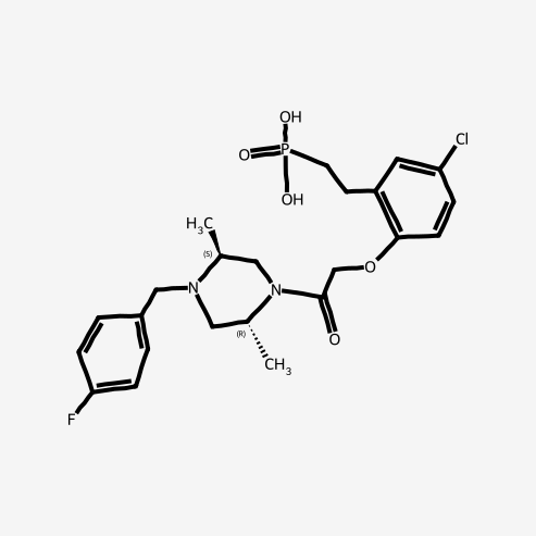 C[C@@H]1CN(Cc2ccc(F)cc2)[C@@H](C)CN1C(=O)COc1ccc(Cl)cc1CCP(=O)(O)O